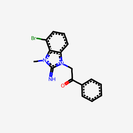 Cn1c(=N)n(CC(=O)c2ccccc2)c2cccc(Br)c21